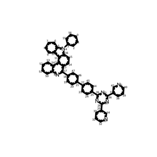 c1ccc(-n2c3ccccc3c3c4c(ccc32)c(-c2ccc(-c3ccc(-c5nc(-c6cccnc6)nc(-c6cccnc6)n5)cc3)cc2)nc2ccccc24)cc1